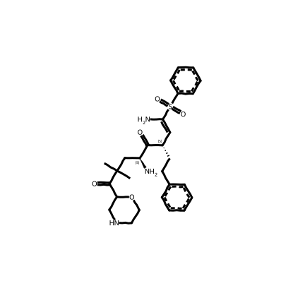 CC(C)(C[C@H](N)C(=O)[C@H](C=C(N)S(=O)(=O)c1ccccc1)CCc1ccccc1)C(=O)C1CNCCO1